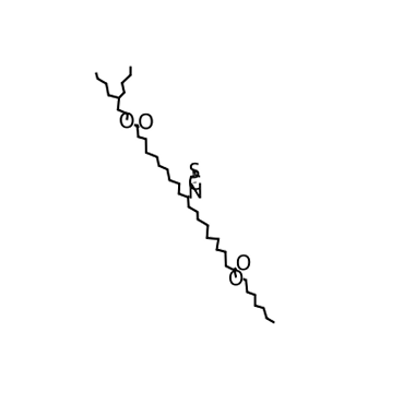 CCCCCCCOC(=O)CCCCCCCCCC(CCCCCCCCCC(=O)OCCC(CCCC)CCCC)N=C=S